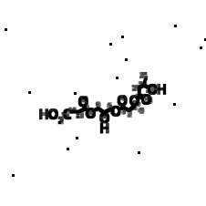 C[C@H](CC(=O)OCC(O)COC(=O)CCC(=O)O)OC(=O)C[C@@H](C)O